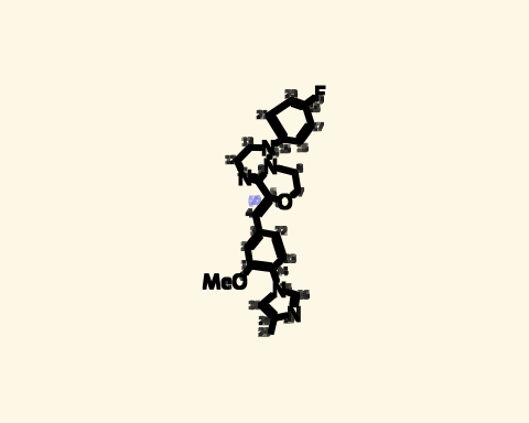 COc1cc(/C=C2\OCCN3C2=NCCN3c2ccc(F)cc2)ccc1-n1cnc(C)c1